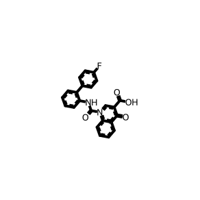 O=C(O)c1cn(C(=O)Nc2ccccc2-c2ccc(F)cc2)c2ccccc2c1=O